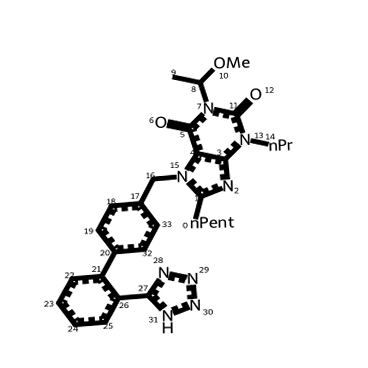 CCCCCc1nc2c(c(=O)n(C(C)OC)c(=O)n2CCC)n1Cc1ccc(-c2ccccc2-c2nnn[nH]2)cc1